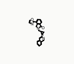 O=C1c2cccc(-c3ncco3)c2CN1CC1C[C@H]1c1cc2ccccc2cn1